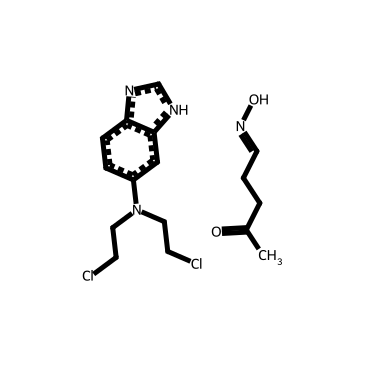 CC(=O)CCC=NO.ClCCN(CCCl)c1ccc2nc[nH]c2c1